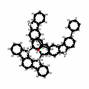 c1ccc(-c2ccc3oc4ccc(-c5cccc(-n6c7ccccc7c7ccc8c9ccccc9n(-c9cccc(-c%10ccc%11oc%12ccccc%12c%11c%10)n9)c8c76)c5)cc4c3c2)cc1